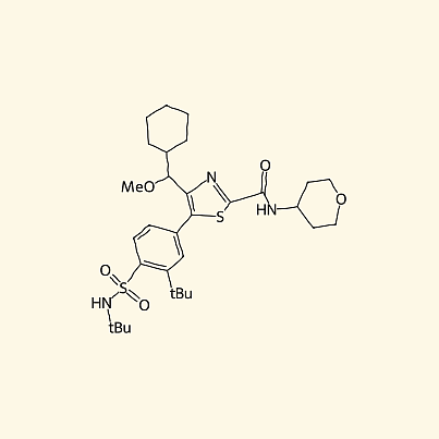 COC(c1nc(C(=O)NC2CCOCC2)sc1-c1ccc(S(=O)(=O)NC(C)(C)C)c(C(C)(C)C)c1)C1CCCCC1